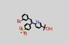 CC(C)(O)c1ccc(/C(=C/c2cccc(Br)c2)c2ccc(S(C)(=O)=O)cc2)nc1